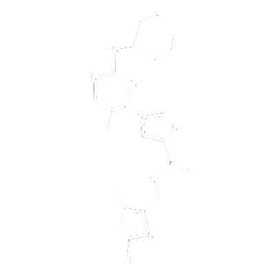 Cc1cnc(NC2CCOCC2)nc1-n1cnc(C(=O)NCc2nc(Cl)sc2C)c1